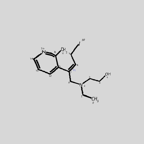 CCN(CCO)C/C(=C/CI)c1cccnc1C